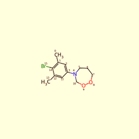 Cc1cc(N2CCCOOC2)cc(C)c1Br